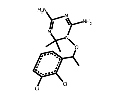 CC(ON1C(N)=NC(N)=NC1(C)C)c1cccc(Cl)c1Cl